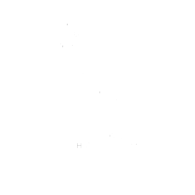 CCc1ccccc1-c1cc(CS(=O)(=O)c2ccccc2)ccc1OCc1ccc(C(=O)OC)cc1